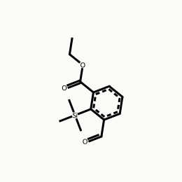 CCOC(=O)c1cccc(C=O)c1[Si](C)(C)C